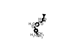 C[C@@H]1C[C@H](NC(=O)c2cc(C3CC3)on2)CCN1C(=O)c1ccc(C(C)(C)N)cc1